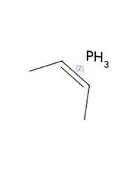 C/C=C\C.P